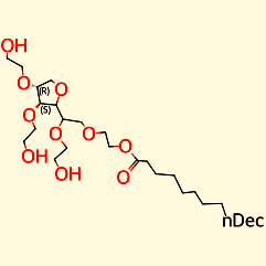 CCCCCCCCCCCCCCCCCC(=O)OCCOCC(OCCO)C1OC[C@@H](OCCO)[C@@H]1OCCO